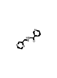 O=C(NN=Cc1cnccn1)c1cccnc1